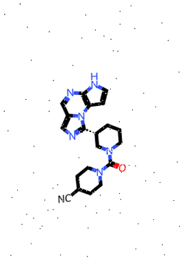 N#CC1CCN(C(=O)N2CCC[C@@H](c3ncc4cnc5[nH]ccc5n34)C2)CC1